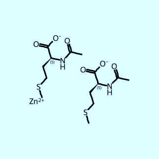 CSCC[C@H](NC(C)=O)C(=O)[O-].CSCC[C@H](NC(C)=O)C(=O)[O-].[Zn+2]